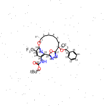 C[C@@H]1CCCCC[C@](OCc2ccccc2)(C(F)(F)F)c2nnc(o2)-c2nc(c(C(F)(F)F)cc2NC(=O)OC(C)(C)C)O1